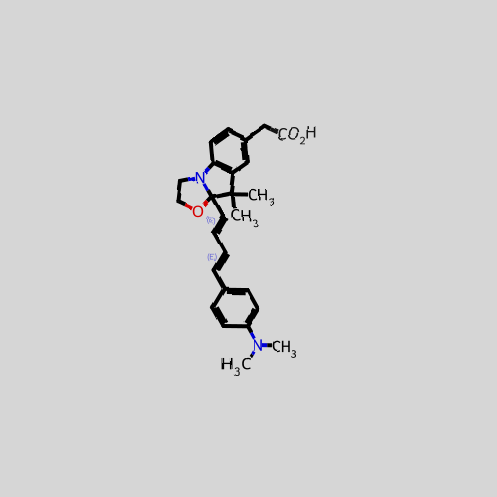 CN(C)c1ccc(/C=C/C=C/C23OCCN2c2ccc(CC(=O)O)cc2C3(C)C)cc1